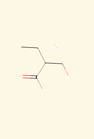 CCC(CO)C(=O)O.[NaH]